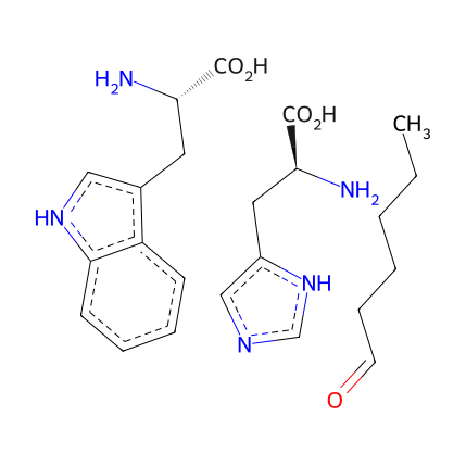 CCCCCC=O.N[C@@H](Cc1c[nH]c2ccccc12)C(=O)O.N[C@@H](Cc1cnc[nH]1)C(=O)O